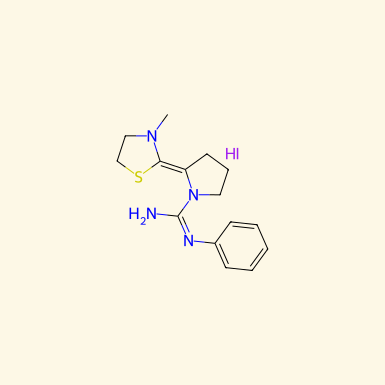 CN1CCSC1=C1CCCN1C(N)=Nc1ccccc1.I